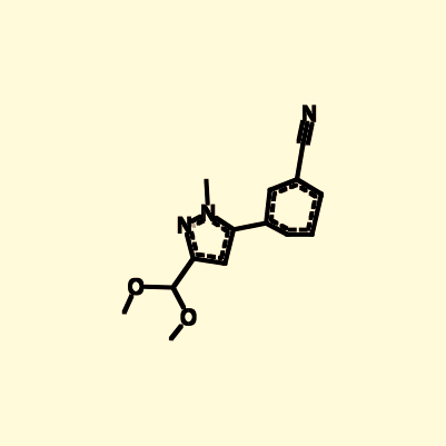 COC(OC)c1cc(-c2cccc(C#N)c2)n(C)n1